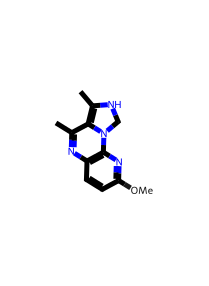 COc1ccc2c(n1)N1CNC(C)=C1C(C)=N2